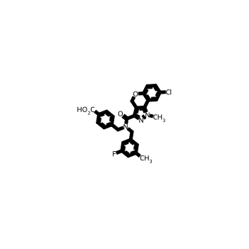 Cc1cc(F)cc(CN(Cc2ccc(C(=O)O)cc2)C(=O)c2nn(C)c3c2COc2ccc(Cl)cc2-3)c1